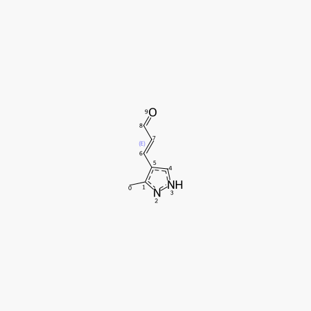 Cc1n[nH]cc1/C=C/C=O